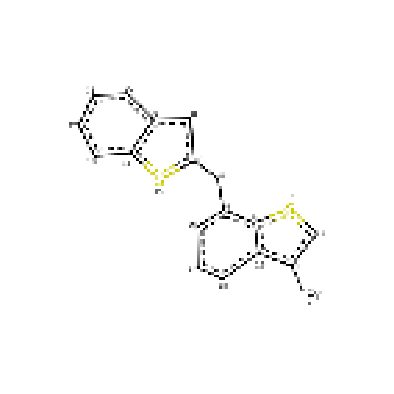 CC(C)c1csc2c(Cc3cc4ccccc4s3)cccc12